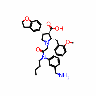 CCCCN(C(=O)CN1C[C@H](c2ccc3c(c2)CCO3)[C@@H](C(=O)O)[C@@H]1Cc1ccccc1OC)c1cccc(CN)c1